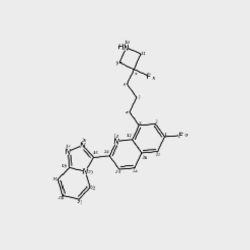 Fc1cc(CCCC2(F)CNC2)c2nc(-c3nnc4ccccn34)ccc2c1